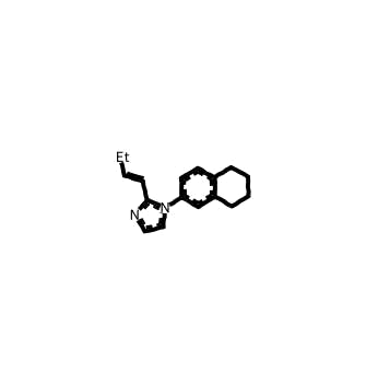 CC/C=C/c1nccn1-c1ccc2c(c1)CCCC2